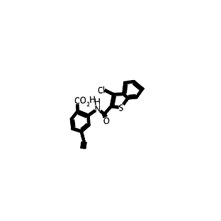 C#Cc1ccc(C(=O)O)c(NC(=O)c2sc3ccccc3c2Cl)c1